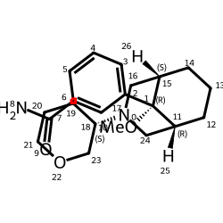 CO[C@@]1(c2cccc(C(N)=O)c2)[C@@H]2CCC[C@H]1CN([C@H]1CCCOC1)C2